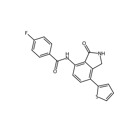 O=C(Nc1ccc(-c2cccs2)c2c1C(=O)NC2)c1ccc(F)cc1